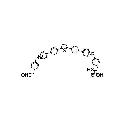 O=CCc1ccc(C[n+]2ccc(-c3ccc(-c4ccc(-c5ccc(-c6cc[n+](Cc7ccc(CP(=O)(O)O)cc7)cc6)cc5)s4)cc3)cc2)cc1